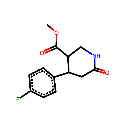 COC(=O)C1CNC(=O)CC1c1ccc(F)cc1